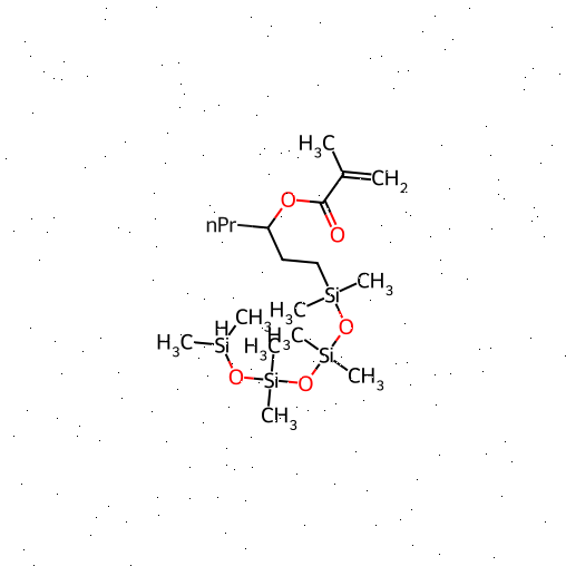 C=C(C)C(=O)OC(CCC)CC[Si](C)(C)O[Si](C)(C)O[Si](C)(C)O[SiH](C)C